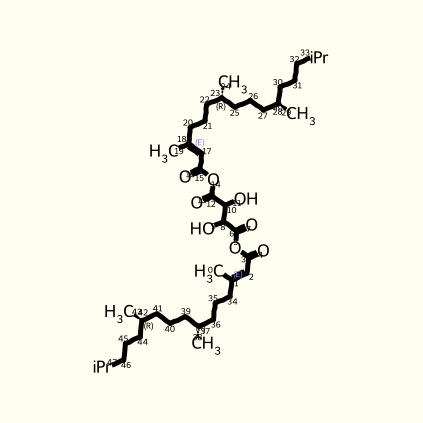 C/C(=C\C(=O)OC(=O)C(O)C(O)C(=O)OC(=O)/C=C(\C)CCC[C@H](C)CCC[C@H](C)CCCC(C)C)CCC[C@H](C)CCC[C@H](C)CCCC(C)C